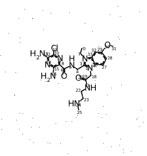 CCn1c(CNC(=O)c2nc(Cl)c(N)nc2N)[n+](CC(=O)NCCNC)c2ccc(OC)cc21